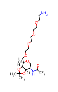 CC1(C)O[C@@H]2[C@@H](NC(=O)C(F)(F)F)CO[C@](C)(COCCOCCOCCOCCN)[C@@H]2O1